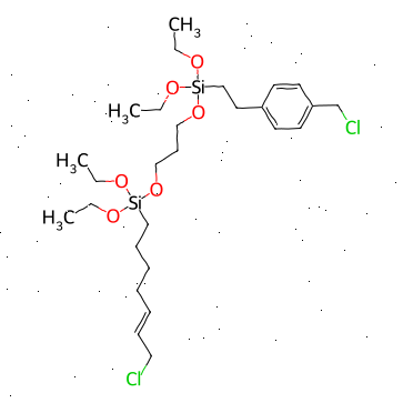 CCO[Si](CCCCC=CCCl)(OCC)OCCCO[Si](CCc1ccc(CCl)cc1)(OCC)OCC